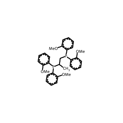 COc1ccccc1P(CC(C)P(c1ccccc1OC)c1ccccc1OC)c1ccccc1OC